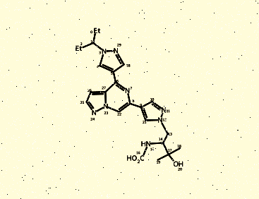 CCC(CC)n1cc(-c2nc(-c3cnn(CC(NC(=O)O)C(C)(C)O)c3)cn3nccc23)cn1